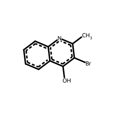 Cc1nc2ccccc2c(O)c1Br